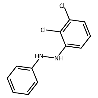 Clc1cccc(NNc2ccccc2)c1Cl